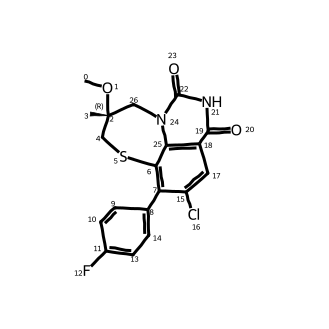 CO[C@@]1(C)CSc2c(-c3ccc(F)cc3)c(Cl)cc3c(=O)[nH]c(=O)n(c23)C1